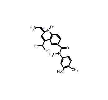 B/C=C1\C=C(C(CC)CCC)c2cc(C(=O)N(C)c3ccc(C)c(C)c3)ccc2N1CC